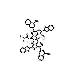 CCC(CC)C(=O)CC(=O)C(CC)C(C(=O)O)(c1cnc(-c2cc(C(C)(C)C)c3ccccc3c2)c2sc(-c3cc4ccccc4s3)c(C)c12)c1cnc(-c2cc(C(C)(C)C)c3ccccc3c2)c2sc(-c3cc4ccccc4s3)c(C)c12